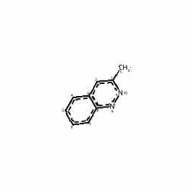 [CH2]c1cc2ccccc2nn1